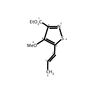 CC=Cc1snc(C(=O)OCC)c1OC